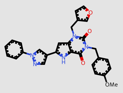 COc1ccc(Cn2c(=O)c3[nH]c(-c4cnn(-c5ccccc5)c4)cc3n(Cc3ccoc3)c2=O)cc1